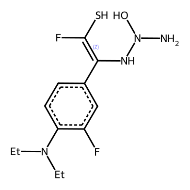 CCN(CC)c1ccc(/C(NN(N)O)=C(\F)S)cc1F